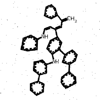 C=C(/C=C(\C=C/Nc1ccccc1)c1ccc(Nc2cccc(-c3ccccc3)c2)c(-c2cccc(-c3ccccc3)c2)c1)c1ccccc1